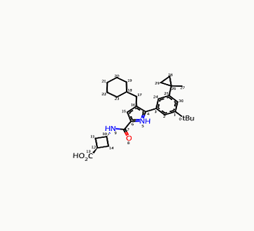 CC(C)(C)c1cc(-c2[nH]c(C(=O)N[C@H]3C[C@H](C(=O)O)C3)cc2CC2CCCCC2)cc(C2(C)CC2)c1